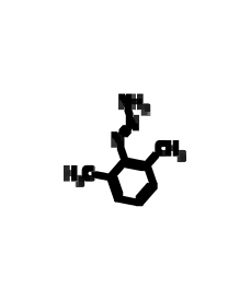 Cc1cccc(C)c1N=NN